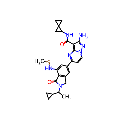 CSNc1cc(-c2ccn3nc(N)c(C(=O)NC4CC45CC5)c3n2)cc2c1C(=O)N(C(C)C1CC1)C2